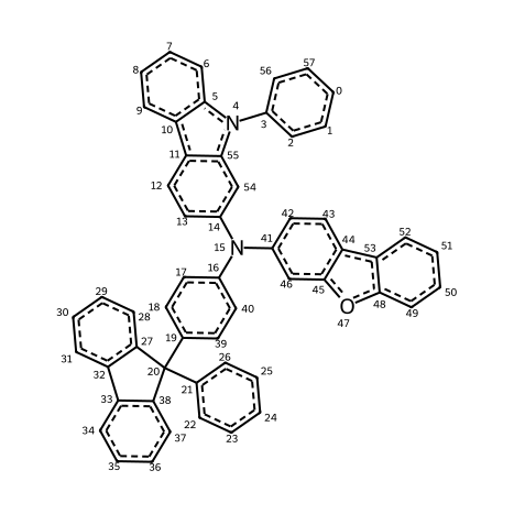 c1ccc(-n2c3ccccc3c3ccc(N(c4ccc(C5(c6ccccc6)c6ccccc6-c6ccccc65)cc4)c4ccc5c(c4)oc4ccccc45)cc32)cc1